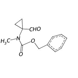 CN(C(=O)OCc1ccccc1)C1(C=O)CC1